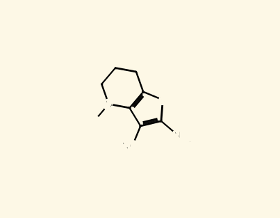 CCN1CCCc2sc(N)c(C#N)c21